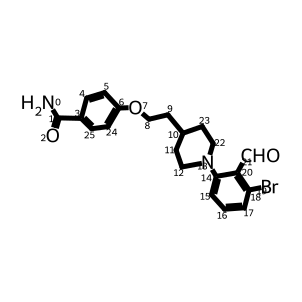 NC(=O)c1ccc(OCCC2CCN(c3cccc(Br)c3C=O)CC2)cc1